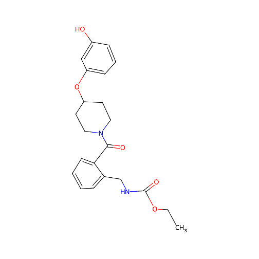 CCOC(=O)NCc1ccccc1C(=O)N1CCC(Oc2cccc(O)c2)CC1